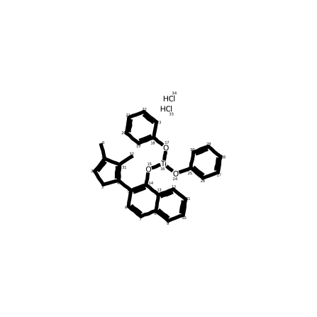 CC1=CCC(c2ccc3ccccc3c2[O][Ti]([O]c2ccccc2)[O]c2ccccc2)=C1C.Cl.Cl